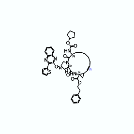 O=C(N[C@H]1CCCCC/C=C\C2C[C@]2(C(=O)OCCc2ccccc2)NC(=O)[C@@H]2C[C@@H](Oc3nc4ccccc4nc3-c3cccs3)CN2C1=O)OC1CCCC1